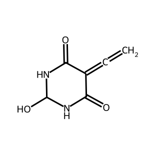 C=C=C1C(=O)NC(O)NC1=O